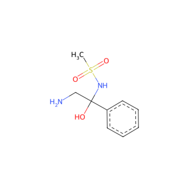 CS(=O)(=O)NC(O)(CN)c1ccccc1